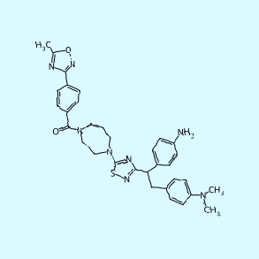 Cc1nc(-c2ccc(C(=O)N3CCCN(c4nc(C(Cc5ccc(N(C)C)cc5)c5ccc(N)cc5)ns4)CC3)cc2)no1